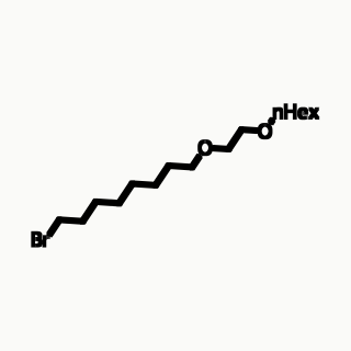 CCCCCCOCCOCCCCCCCCBr